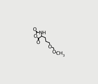 COCOCCCC1NC(=O)OC1=O